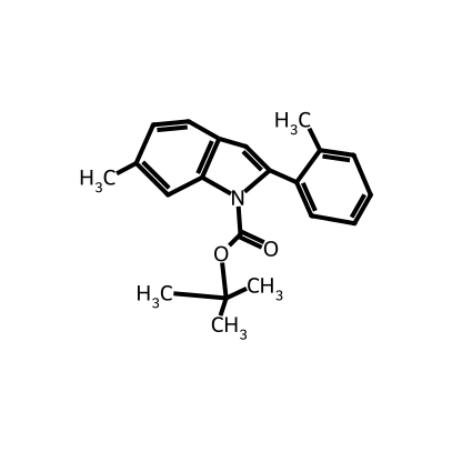 Cc1ccc2cc(-c3ccccc3C)n(C(=O)OC(C)(C)C)c2c1